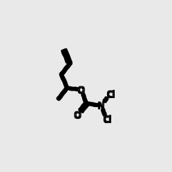 C=CCC(C)OC(=O)N(Cl)Cl